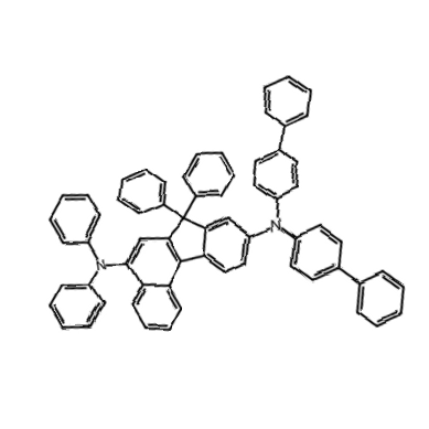 c1ccc(-c2ccc(N(c3ccc(-c4ccccc4)cc3)c3ccc4c(c3)C(c3ccccc3)(c3ccccc3)c3cc(N(c5ccccc5)c5ccccc5)c5ccccc5c3-4)cc2)cc1